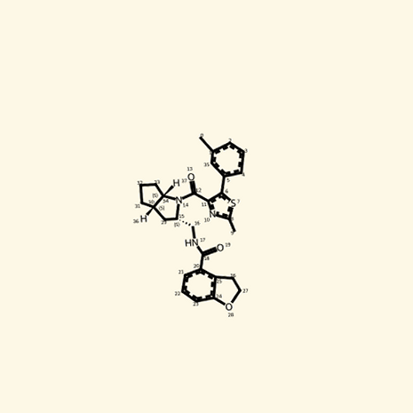 Cc1cccc(-c2sc(C)nc2C(=O)N2[C@H](CNC(=O)c3cccc4c3CCO4)C[C@@H]3CCC[C@@H]32)c1